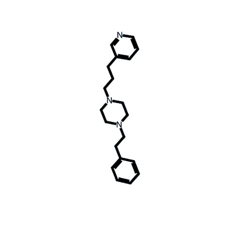 c1ccc(CCN2CCN(CCCc3cccnc3)CC2)cc1